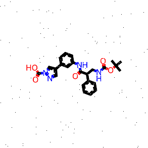 CC(C)(C)OC(=O)NCC(C(=O)Nc1cccc(-c2cnn(C(=O)O)c2)c1)c1ccccc1